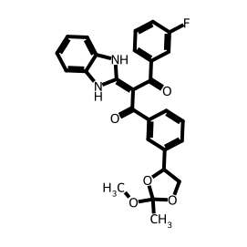 COC1(C)OCC(c2cccc(C(=O)C(C(=O)c3cccc(F)c3)=C3Nc4ccccc4N3)c2)O1